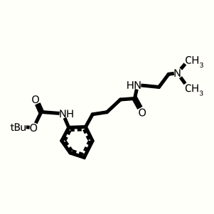 CN(C)CCNC(=O)CCCc1ccccc1NC(=O)OC(C)(C)C